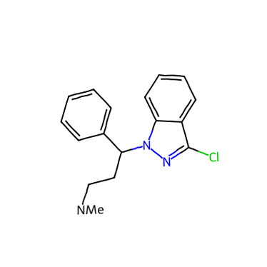 CNCCC(c1ccccc1)n1nc(Cl)c2ccccc21